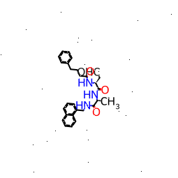 C[C@H](NC(=O)[C@H](CC=O)NC(=O)CCCc1ccccc1)C(=O)NCc1cccc2ccccc12